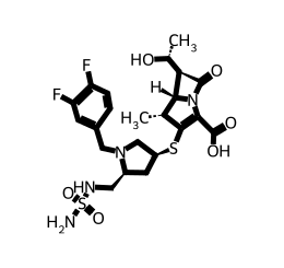 C[C@@H](O)[C@H]1C(=O)N2C(C(=O)O)=C(S[C@H]3C[C@@H](CNS(N)(=O)=O)N(Cc4ccc(F)c(F)c4)C3)[C@H](C)[C@H]12